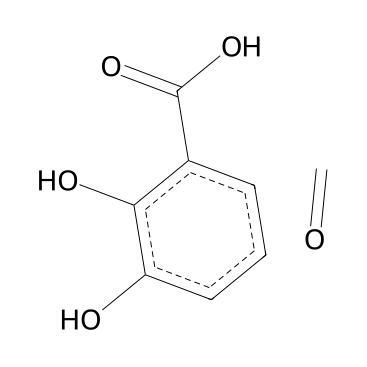 C=O.O=C(O)c1cccc(O)c1O